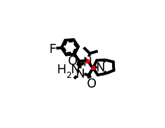 CC(C)N1C(=O)N(C)C(=O)C12CC1CCC(C2)N1CC[C@H](N)c1cccc(F)c1